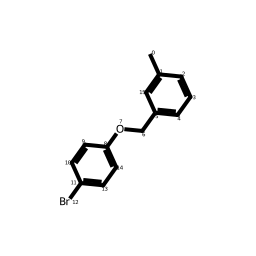 Cc1cccc(COc2ccc(Br)cc2)c1